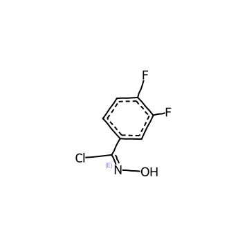 O/N=C(/Cl)c1ccc(F)c(F)c1